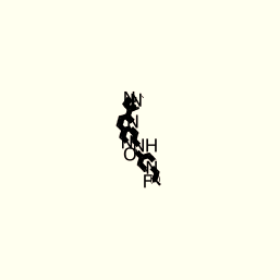 C[C@@H](F)CN1CCC(C(=O)Nc2cc3nc(-c4cnn(C)c4)ccc3cn2)CC1